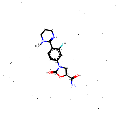 CN1CCCN=C1c1ccc(N2C[C@@H](C(N)=O)OC2=O)cc1F